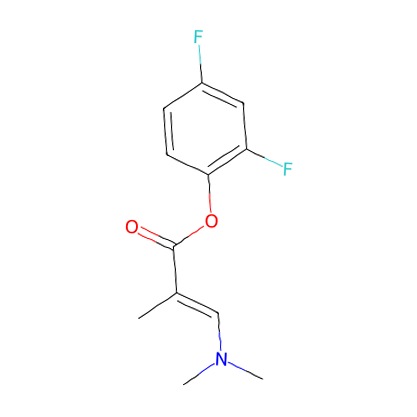 CC(=CN(C)C)C(=O)Oc1ccc(F)cc1F